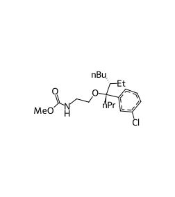 CCCC[C@H](CC)[C@@](CCC)(OCCNC(=O)OC)c1cccc(Cl)c1